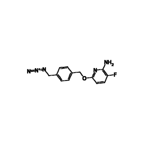 [N-]=[N+]=NCc1ccc(COc2ccc(F)c(N)n2)cc1